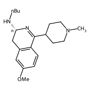 CCCCN[C@H]1Cc2cc(OC)ccc2C(C2CCN(C)CC2)=N1